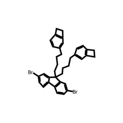 Brc1ccc2c(c1)C(CCCCc1ccc3c(c1)CC3)(CCCCc1ccc3c(c1)CC3)c1cc(Br)ccc1-2